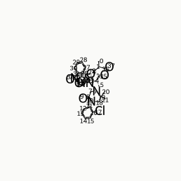 C[C@@H]1C[C@@H]([C@H](CN2CC(=O)N(c3ccccc3Cl)CC2(C)C)NS(=O)(=O)c2ccccc2[N+](=O)[O-])OC1=O